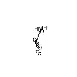 O=C(CCCCCCC(=O)N1CCN(C(=O)Cc2ccc3ccccc3c2)CC1)NO